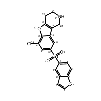 O=S(=O)(c1ccc2sccc2c1)c1cc(Cl)c2oc3c(c2c1)CNCC3